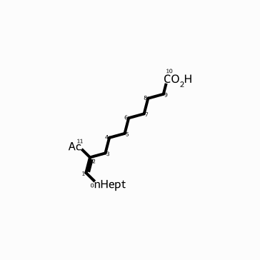 CCCCCCCC=C(CCCCCCCC(=O)O)C(C)=O